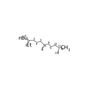 CCCCC(CC)CCCC(I)CCCC(C)I